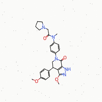 COc1ccc(C2CN(c3ccc(N(C)C(=O)CN4CCCC4)cc3)C(=O)c3[nH]nc(OC)c32)cc1